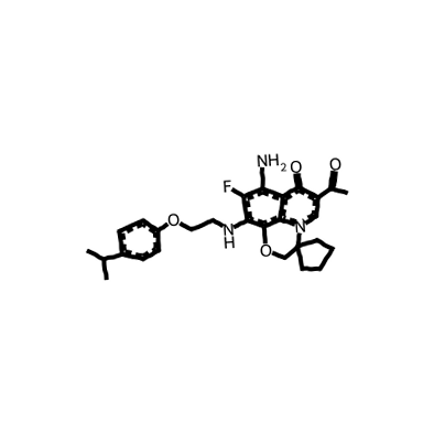 CC(=O)c1cn2c3c(c(NCCOc4ccc(C(C)C)cc4)c(F)c(N)c3c1=O)OCC21CCCC1